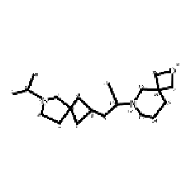 CC(C)N1CCC2(CC(CC(C)N3CCCC4(COC4)C3)C2)C1